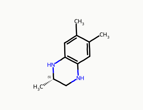 Cc1cc2c(cc1C)N[C@@H](C)CN2